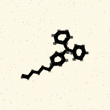 C=CCCCCc1ccc(N(c2ccccc2)c2ccccc2)cc1